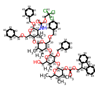 CCC1O[C@H](O[C@@H]2C(OCc3ccccc3)[C@H](O[C@@H]3C(COCc4ccccc4)O[C@@H](O[C@@H]4C(COCc5ccccc5)O[C@@H](OCc5ccccc5)C(NC(=O)OCC(Cl)(Cl)Cl)[C@H]4C)C(C)[C@H]3C)OC(CO)[C@H]2C)C(OC(=O)OCC2c3ccccc3-c3ccccc32)[C@@H](C)[C@@H]1C